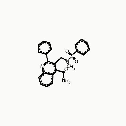 CN(Cc1c(-c2ccccc2)nc2ccccc2c1C(N)=O)S(=O)(=O)c1ccccc1